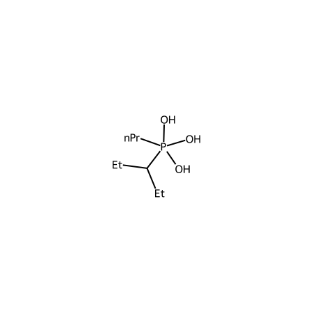 CCCP(O)(O)(O)C(CC)CC